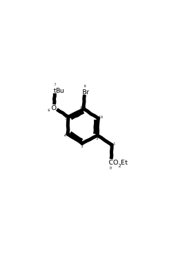 CCOC(=O)Cc1ccc(OC(C)(C)C)c(Br)c1